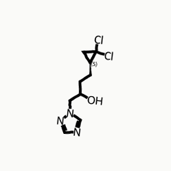 OC(CC[C@H]1CC1(Cl)Cl)Cn1cncn1